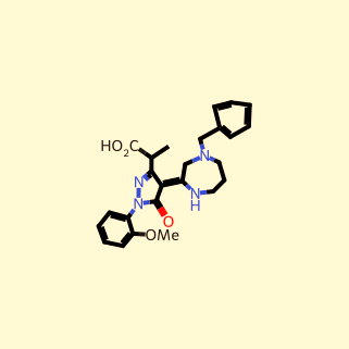 COc1ccccc1N1N=C(C(C)C(=O)O)C(=C2CN(Cc3ccccc3)CCCN2)C1=O